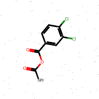 CCCC(=O)OC(=O)c1ccc(Cl)c(Cl)c1